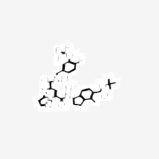 Cc1c(C(=O)OC(C)(C)C)ccc2c1CC[C@@H]2NC(=O)c1cc(C(=O)NCc2ccc(F)c(OC(F)(F)F)c2)nc2ccnn12